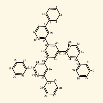 C1=CCCC(c2ccnc(-c3cc(-c4cc(-c5ccccc5)nc(C5C=CC=CC5)c4)cc(-c4cc(-c5ccccc5)ccn4)c3)c2)=C1